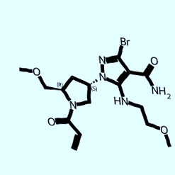 C=CC(=O)N1C[C@@H](n2nc(Br)c(C(N)=O)c2NCCOC)C[C@@H]1COC